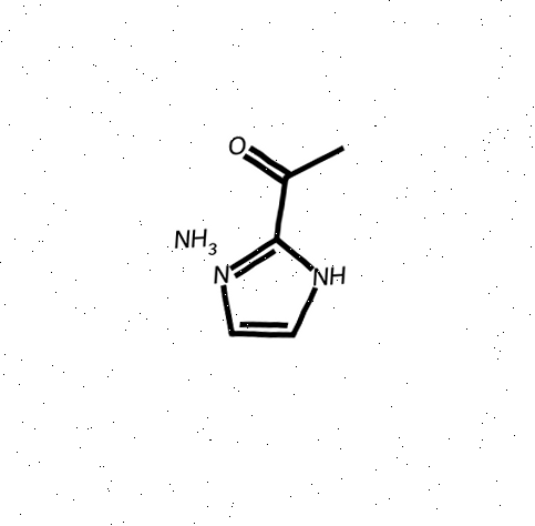 CC(=O)c1ncc[nH]1.N